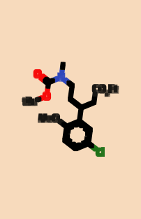 CCOC(=O)CC(CCN(C)C(=O)OC(C)(C)C)c1cc(Cl)ccc1OC